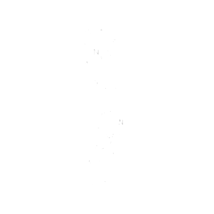 O=S(=O)(c1ccccc1)c1cnc2ccc(OCCN3CCCCC3)cc2c1